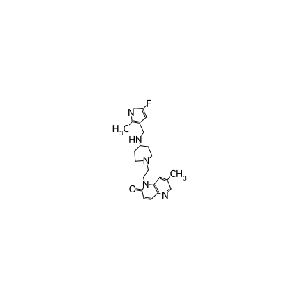 Cc1cnc2ccc(=O)n(CCN3CCC(NCc4cc(F)cnc4C)CC3)c2c1